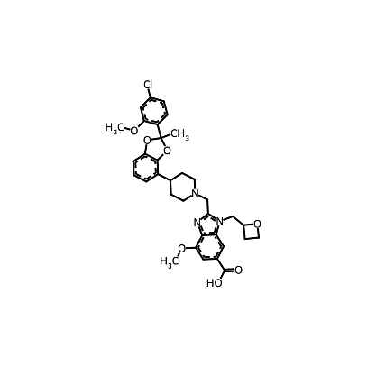 COc1cc(Cl)ccc1C1(C)Oc2cccc(C3CCN(Cc4nc5c(OC)cc(C(=O)O)cc5n4CC4CCO4)CC3)c2O1